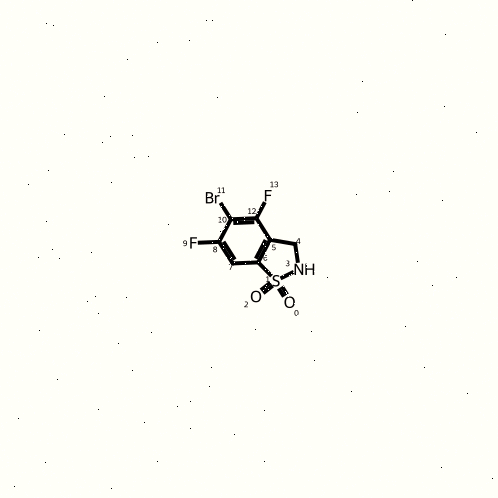 O=S1(=O)NCc2c1cc(F)c(Br)c2F